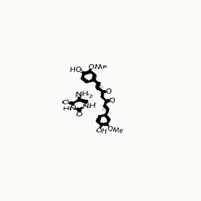 COc1cc(/C=C/C(=O)CC(=O)/C=C/c2ccc(O)c(OC)c2)ccc1O.Nc1c[nH]c(=O)[nH]c1=O